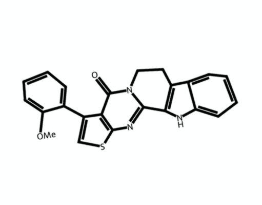 COc1ccccc1-c1csc2nc3n(c(=O)c12)CCc1c-3[nH]c2ccccc12